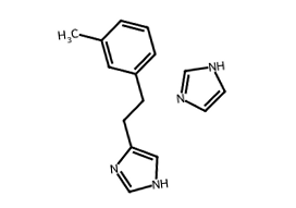 Cc1cccc(CCc2c[nH]cn2)c1.c1c[nH]cn1